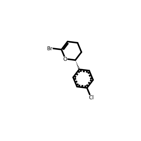 Clc1ccc([C@H]2CCC=C(Br)O2)cc1